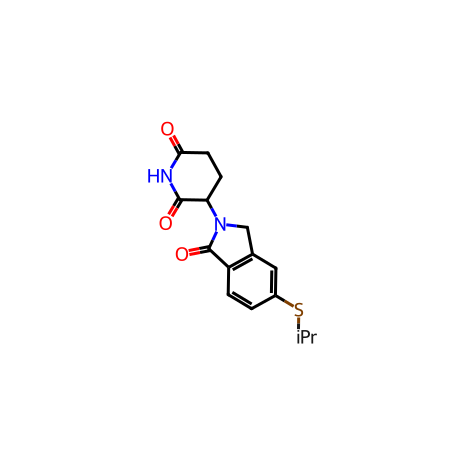 CC(C)Sc1ccc2c(c1)CN(C1CCC(=O)NC1=O)C2=O